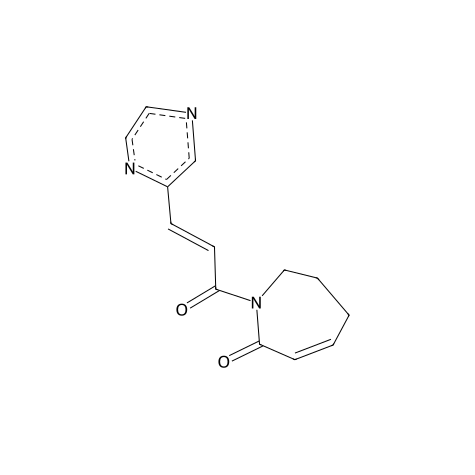 O=C1C=CCCCN1C(=O)/C=C/c1cnccn1